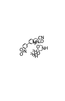 [2H]C([2H])([2H])O[C@@H]1CNC[C@@H](C(=O)N[C@H](C#N)Cc2ccc(-c3ccc4oc(=O)n(C)c4c3)cc2F)OC1